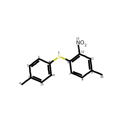 Cc1ccc(Sc2ccc(C)cc2[N+](=O)[O-])cc1